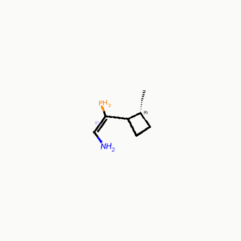 C[C@@H]1CCC1/C(P)=C\N